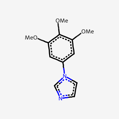 COc1cc(-n2ccnc2)cc(OC)c1OC